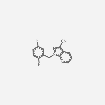 N#Cc1nn(Cc2cc(F)ccc2F)c2ncccc12